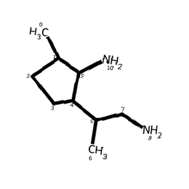 CC1CCC(C(C)CN)C1N